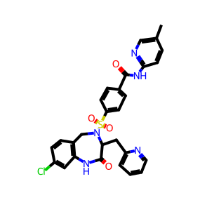 Cc1ccc(NC(=O)c2ccc(S(=O)(=O)N3Cc4ccc(Cl)cc4NC(=O)C3Cc3ccccn3)cc2)nc1